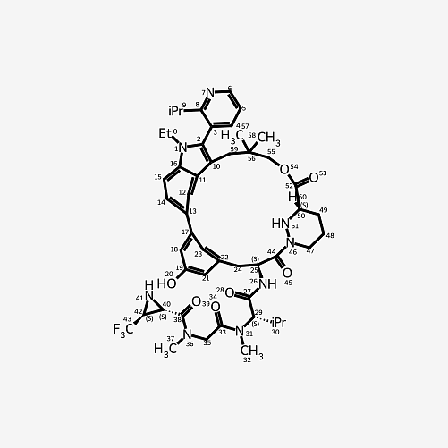 CCn1c(-c2cccnc2C(C)C)c2c3cc(ccc31)-c1cc(O)cc(c1)C[C@H](NC(=O)[C@H](C(C)C)N(C)C(=O)CN(C)C(=O)[C@H]1N[C@@H]1C(F)(F)F)C(=O)N1CCC[C@H](N1)C(=O)OCC(C)(C)C2